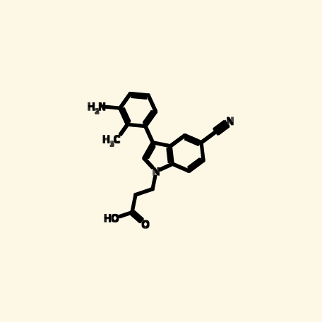 Cc1c(N)cccc1-c1cn(CCC(=O)O)c2ccc(C#N)cc12